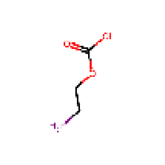 O=C(O)OCCP